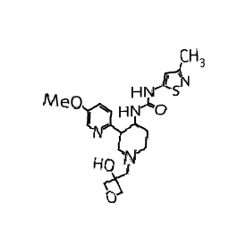 COc1ccc(C2CN(CC3(O)COC3)CCC2NC(=O)Nc2cc(C)ns2)nc1